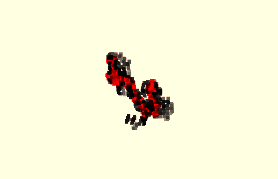 CC(C)C[C@H](NCC(NC(=O)CCCN1C(=O)C=CC1=O)C(C)C)C(=O)N[C@@H](CCCCN)C(=O)Nc1ccc(C(=O)Nc2ccc3[nH]c(C(=O)N4C[C@@H](CCl)c5c4cc(OC(=O)N4CCN(C)CC4)c4ccccc54)cc3c2)cc1